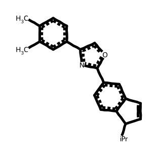 Cc1ccc(-c2coc(-c3ccc4c(c3)C=CC4C(C)C)n2)cc1C